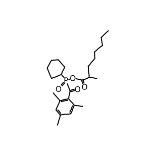 CCCCCCC(C)C(=O)OP(=O)(C(=O)c1c(C)cc(C)cc1C)C1CCCCC1